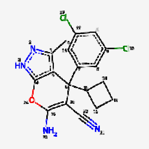 Cc1n[nH]c2c1C(c1cc(Cl)cc(Cl)c1)(C1CCC1)C(C#N)=C(N)O2